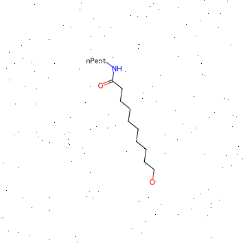 CCCCCNC(=O)CCCCCCCCC[O]